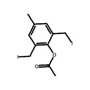 CC(=O)Oc1c(CI)cc(C)cc1CI